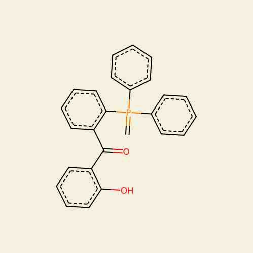 C=P(c1ccccc1)(c1ccccc1)c1ccccc1C(=O)c1ccccc1O